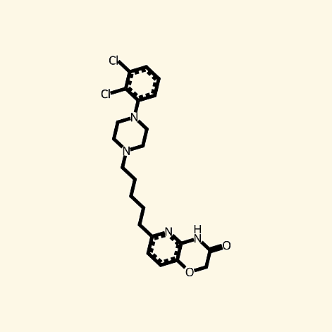 O=C1COc2ccc(CCCCCN3CCN(c4cccc(Cl)c4Cl)CC3)nc2N1